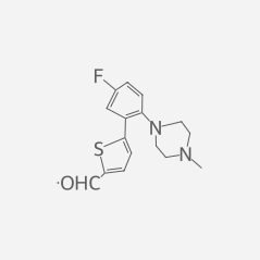 CN1CCN(c2ccc(F)cc2-c2ccc([C]=O)s2)CC1